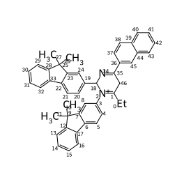 CCC1=[N+](c2ccc3c(c2)C(C)(C)c2ccccc2-3)C(c2ccc3c(c2)C(C)(C)c2ccccc2-3)N=C(c2ccc3ccccc3c2)C1